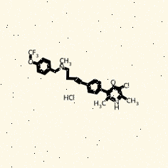 Cc1[nH]c(C)c(-c2ccc(C#CCCN(C)Cc3ccc(OC(F)(F)F)cc3)cc2)c(=O)c1Cl.Cl